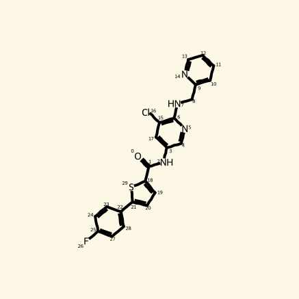 O=C(Nc1cnc(NCc2ccccn2)c(Cl)c1)c1ccc(-c2ccc(F)cc2)s1